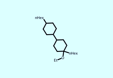 CCCCCCC1CCC(C2CCC(CCCCCC)(OCC)CC2)CC1